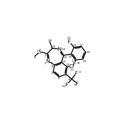 CSC1=Nc2ccc(C(F)(F)F)c(Cl)c2C(c2c(F)cccc2F)=NC1C